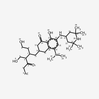 CC(=O)CC(=O)C(CO)C(CCO)CC1CC(=O)c2c(O)c(NC3CC(C)(C)NC(C)(C)C3)cc(N(C)C)c2C1